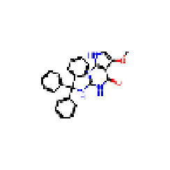 COc1c[nH]c2nc(NC(c3ccccc3)(c3ccccc3)c3ccccc3)[nH]c(=O)c12